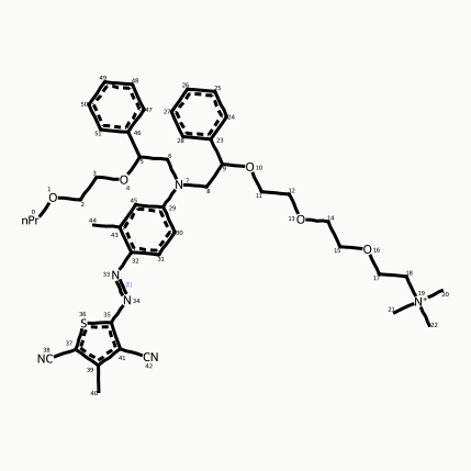 CCCOCCOC(CN(CC(OCCOCCOCC[N+](C)(C)C)c1ccccc1)c1ccc(/N=N/c2sc(C#N)c(C)c2C#N)c(C)c1)c1ccccc1